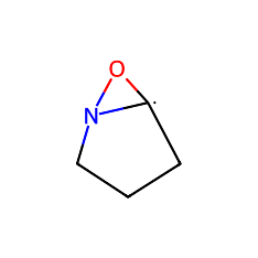 C1C[C]2ON2C1